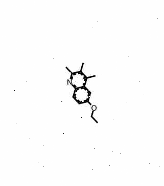 CCOc1ccc2nc(C)c(C)c(C)c2c1